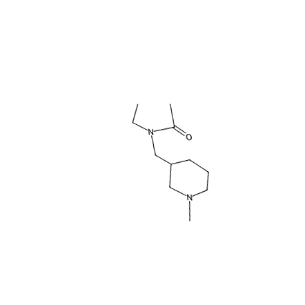 CCN(CC1CCCN(C)C1)C(C)=O